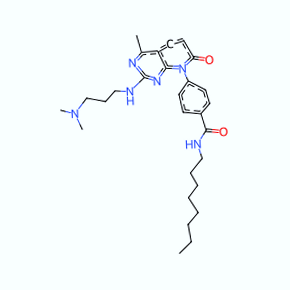 CCCCCCCCNC(=O)c1ccc(-n2c(=O)ccc3c(C)nc(NCCCN(C)C)nc32)cc1